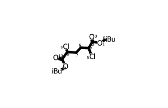 CCC(C)OC(=O)C(Cl)CCC(Cl)C(=O)OC(C)CC